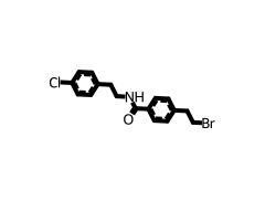 O=C(NCCc1ccc(Cl)cc1)c1ccc(CCBr)cc1